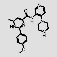 COc1ccc(C2=NC(C(=O)Nc3cnccc3N3CCNCC3)=CC(C)N2)cc1